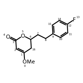 COC1=CC(=O)OC(CCc2ccc(F)cc2)C1